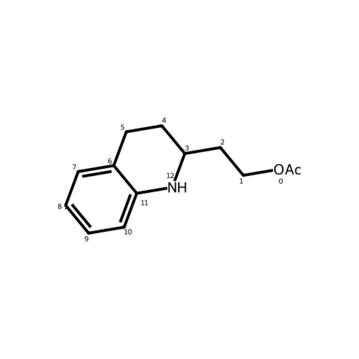 CC(=O)OCCC1CCc2c[c]ccc2N1